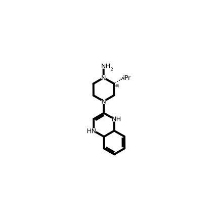 CC(C)[C@@H]1CN(C2=CNC3C=CC=CC3N2)CCN1N